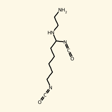 NCCNC(CCCCCN=C=O)N=C=O